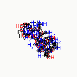 CC(C)[C@H](NC(=O)[C@@H](NC(=O)[C@@H](N)CC(=O)O)[C@@H](C)O)C(=O)N[C@@H](C)C(=O)NCC(=O)N[C@@H](C)C(=O)N[C@@H](CCCNC(=N)N)C(=O)N[C@@H](CCCCN)C(=O)N[C@@H](CC(N)=O)C(=O)N[C@@H](CCC(N)=O)C(=O)N[C@@H](Cc1ccc(O)cc1)C(=O)N[C@@H](CCCNC(=N)N)C(=O)N[C@@H](Cc1c[nH]cn1)C(=O)N[C@@H](Cc1ccc(O)cc1)C(=O)N[C@@H](Cc1c[nH]c2ccccc12)C(N)=O